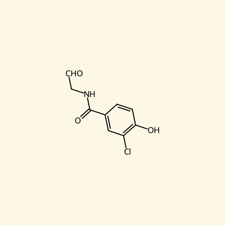 O=CCNC(=O)c1ccc(O)c(Cl)c1